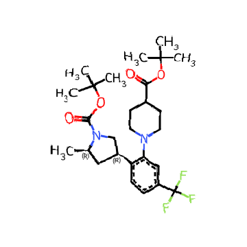 C[C@@H]1C[C@H](c2ccc(C(F)(F)F)cc2N2CCC(C(=O)OC(C)(C)C)CC2)CN1C(=O)OC(C)(C)C